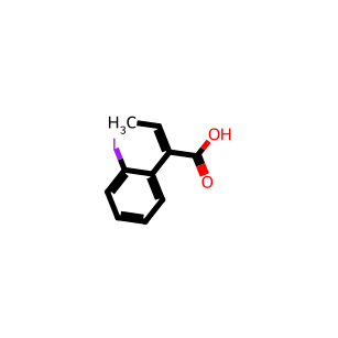 C/C=C(/C(=O)O)c1ccccc1I